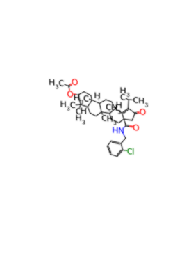 CC(=O)O[C@H]1CC[C@]2(C)[C@H]3CC[C@@H]4C5=C(C(C)C)C(=O)C[C@]5(C(=O)NCc5ccccc5Cl)CC[C@@]4(C)[C@]3(C)CC[C@H]2C1(C)C